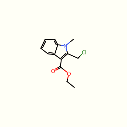 CCOC(=O)c1c(CCl)n(C)c2ccccc12